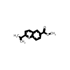 C=C(C)c1ccc2cc(C(=O)OC)ccc2n1